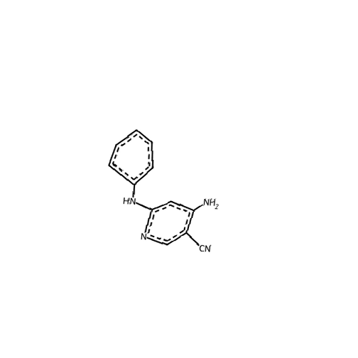 N#Cc1cnc(Nc2ccccc2)cc1N